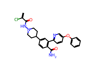 C=C(Cl)C(=O)NN1CCC(c2ccc(C(N)=O)c(-c3ccc(Oc4ccccc4)cn3)c2)CC1